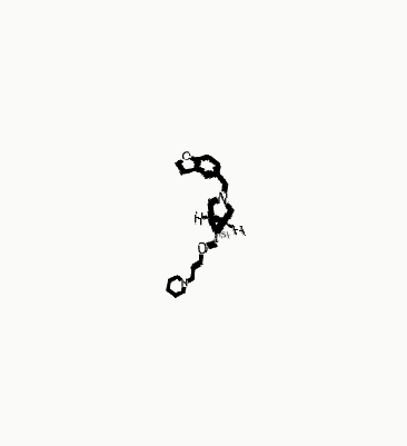 c1cc2c(cc1CN1C[C@@H]3[C@H](COCCCN4CCCCC4)[C@@H]3C1)CCO2